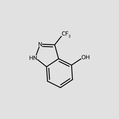 Oc1cccc2[nH]nc(C(F)(F)F)c12